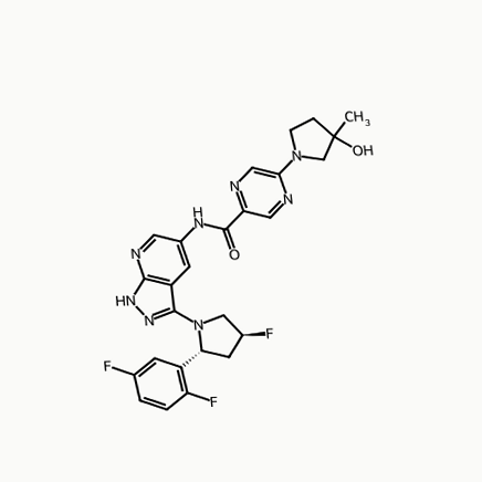 CC1(O)CCN(c2cnc(C(=O)Nc3cnc4[nH]nc(N5C[C@@H](F)C[C@@H]5c5cc(F)ccc5F)c4c3)cn2)C1